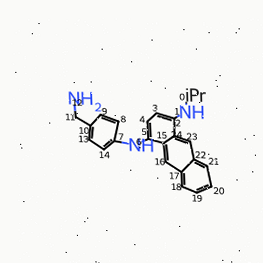 CC(C)Nc1ccc(Nc2ccc(CN)cc2)c2cc3ccccc3cc12